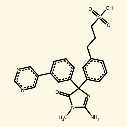 CN1C(=O)C(c2cccc(CCCS(=O)(=O)O)c2)(c2cccc(-c3cncnc3)c2)N=C1N